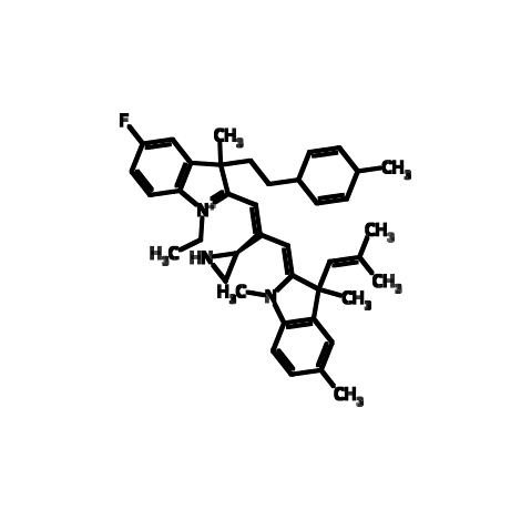 CC[N+]1=C(/C=C(/C=C2\N(C)c3ccc(C)cc3C2(C)C=C(C)C)[C@H]2CN2)C(C)(CCC2C=CC(C)C=C2)c2cc(F)ccc21